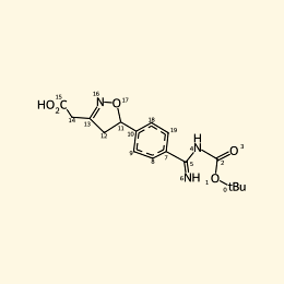 CC(C)(C)OC(=O)NC(=N)c1ccc(C2CC(CC(=O)O)=NO2)cc1